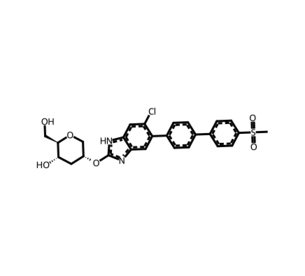 CS(=O)(=O)c1ccc(-c2ccc(-c3cc4nc(O[C@H]5CO[C@H](CO)[C@@H](O)C5)[nH]c4cc3Cl)cc2)cc1